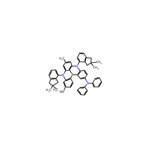 Cc1cc2c3c(c1)N(c1cccc4c1CC(C)(C)C4)c1cc(C(C)(C)C)ccc1B3c1cc(N(c3ccccc3)c3ccccc3)ccc1N2c1cccc2c1CC(C)(C)C2